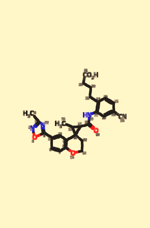 Cc1noc(-c2ccc3c(c2)[C@]2(CCO3)C(C)C2C(=O)Nc2cc(C#N)ccc2CCCC(=O)O)n1